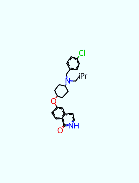 CC(C)CN(Cc1ccc(Cl)cc1)[C@H]1CC[C@H](Oc2ccc3c(=O)[nH]ccc3c2)CC1